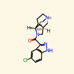 O=C(c1n[nH]c2ccc(Cl)cc12)N1C[C@@H]2C[N@@]3CCC2[C@@H]1C3